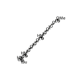 COC(=O)CCOCCOCCOCCOCCNC(=O)CCOCCOCCOCCOCCNC(=O)CONC(=O)OC(C)(C)C